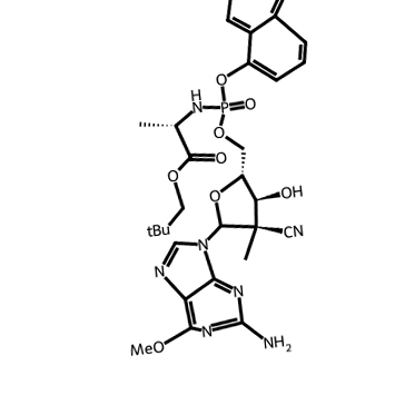 COc1nc(N)nc2c1ncn2C1O[C@H](COP(=O)(N[C@@H](C)C(=O)OCC(C)(C)C)Oc2cccc3ccccc23)[C@@H](O)[C@@]1(C)C#N